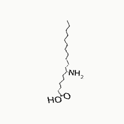 CCCCCCCCCCCC(N)CCCCCC(=O)O